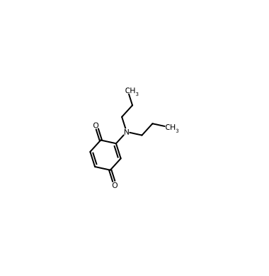 CCCN(CCC)C1=CC(=O)C=CC1=O